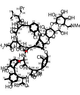 CNC[C@H]1O[C@@H](O[C@H]2[C@H](O)[C@@H](O)C(Oc3c4cc5cc3Oc3ccc(cc3Cl)[C@@H](O)[C@@H](NC(=O)[C@@H](CC(C)C)N(C)C)C(=O)N[C@@H](CC(N)=O)C(=O)N[C@H]5C(=O)N[C@H]3C(=O)N[C@H](C(=O)N[C@@H]([C](=O)[Rb])c5cc(O)c(C)c(O)c5-c5cc3ccc5O)[C@H](O)c3ccc(c(Cl)c3)O4)O[C@@H]2CO)[C@H](O)[C@@H](O)[C@H]1O